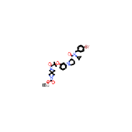 CC(C)(C)OC(=O)N1CC2(C1)CN(C(=O)C(C)(C)Oc1cccc(N3CCC[C@@H](C(=O)N(Cc4ccc(Br)cc4)C4CC4)C3)c1)C2